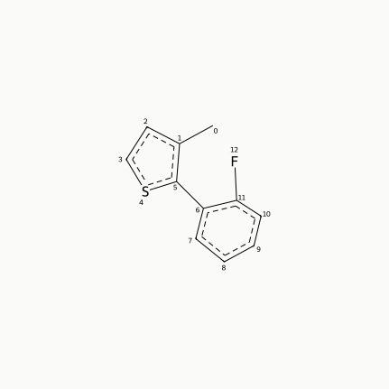 Cc1ccsc1-c1ccccc1F